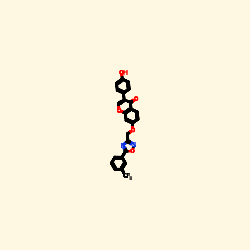 O=c1c(-c2ccc(O)cc2)coc2cc(OCc3noc(-c4cccc(C(F)(F)F)c4)n3)ccc12